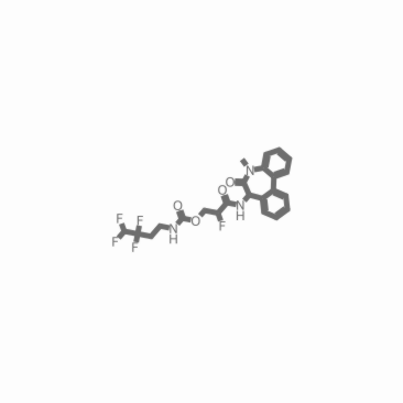 CN1C(=O)C(NC(=O)C(F)COC(=O)NCCC(F)(F)C(F)F)c2ccccc2-c2ccccc21